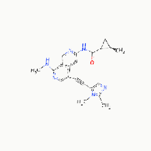 CNc1ncc(C#Cc2cnc(C)n2C)c2cc(NC(=O)C3C[C@H]3C)ncc12